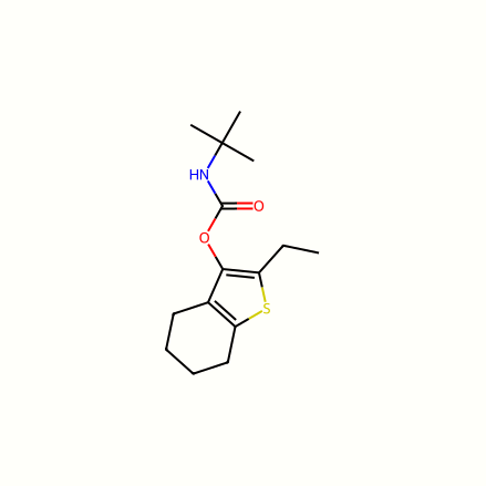 CCc1sc2c(c1OC(=O)NC(C)(C)C)CCCC2